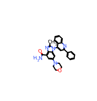 Cc1nc2c(C(N)=O)cc(N3CCOCC3)cc2n1-c1cc(-c2ccccc2)nc2ccccc12